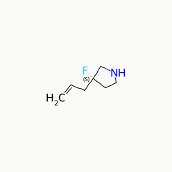 C=CC[C@]1(F)CCNC1